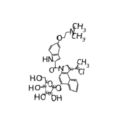 C[C@@H](Cl)[C@@H]1CN(C(=O)c2cc3cc(OCCN(C)C)ccc3[nH]2)c2cc(O[C@@H]3O[C@H](CO)[C@H](O)[C@H](O)[C@H]3O)c3ccccc3c21